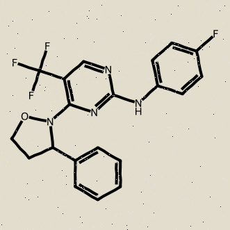 Fc1ccc(Nc2ncc(C(F)(F)F)c(N3OCCC3c3ccccc3)n2)cc1